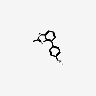 Cc1nc2c(-c3ccc(C(F)(F)F)cc3)cccc2s1